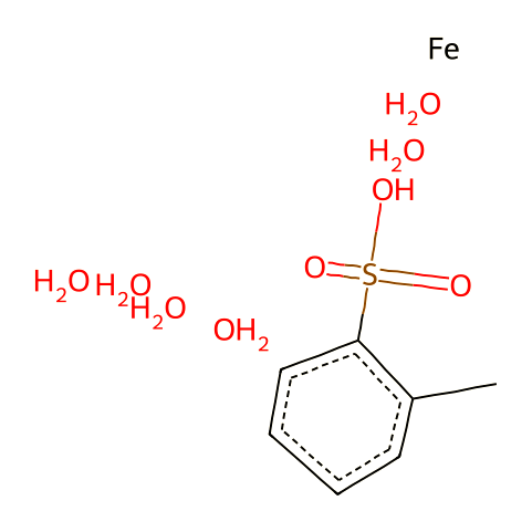 Cc1ccccc1S(=O)(=O)O.O.O.O.O.O.O.[Fe]